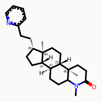 CN1C(=O)CC[C@@]2(C)C1CC[C@H]1[C@@H]3CC[C@H](CCc4ccccn4)[C@@]3(C)CC[C@@H]12